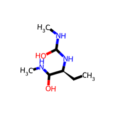 CC[C@H](NC(O)NC)C(O)NC